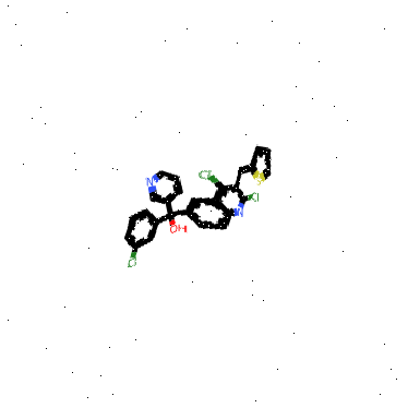 OC(c1cccnc1)(c1cccc(Cl)c1)c1ccc2nc(Cl)c(Cc3cccs3)c(Cl)c2c1